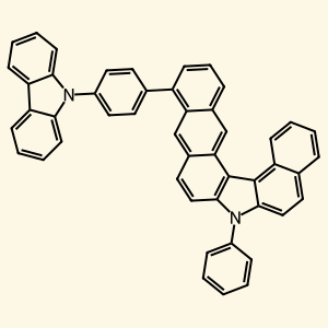 c1ccc(-n2c3ccc4ccccc4c3c3c4cc5cccc(-c6ccc(-n7c8ccccc8c8ccccc87)cc6)c5cc4ccc32)cc1